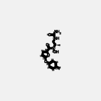 C[C@@H](CNC(N)=O)N(O)C(=O)c1ccc(Oc2ccc(F)cc2)o1